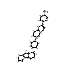 Cc1ccc(-c2ccc3cc(-c4ccc(-c5cccc6c5sc5ncccc56)cc4)ccc3c2)cc1